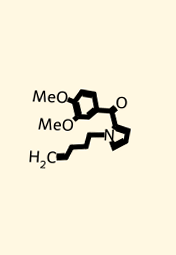 C=CCCCn1cccc1C(=O)c1ccc(OC)c(OC)c1